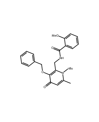 CCCCn1c(C)cc(=O)c(OCc2ccccc2)c1CNC(=O)c1ccccc1OC